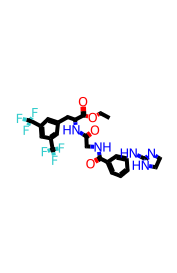 CCOC(=O)C(Cc1cc(C(F)(F)F)cc(C(F)(F)F)c1)NC(=O)CNC(=O)c1cccc(NC2=NCCN2)c1